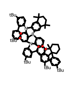 CC(C)(C)c1ccc(C23CCCCC2(C)N(c2ccc4c(c2)N(c2ccc(C(C)(C)C)cc2-c2ccccc2)c2cc(C(C)(C)C)cc5c2B4c2cc4c(cc2N5c2ccc(C(C)(C)C)cc2-c2ccccc2)C(C)(C)CCC4(C)C)c2ccc(C(C)(C)C)cc23)cc1